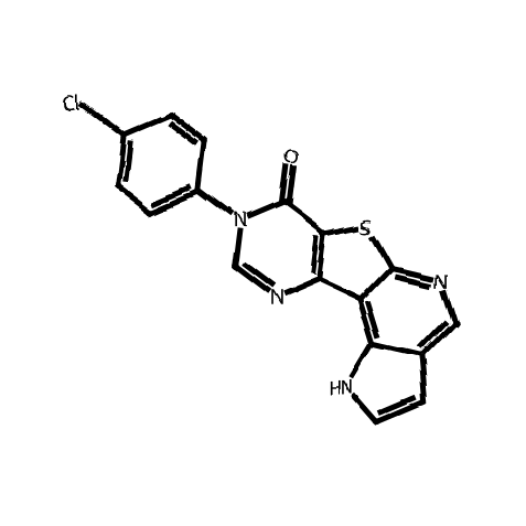 O=c1c2sc3ncc4cc[nH]c4c3c2ncn1-c1ccc(Cl)cc1